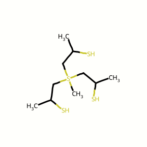 CC(S)CS(C)(CC(C)S)CC(C)S